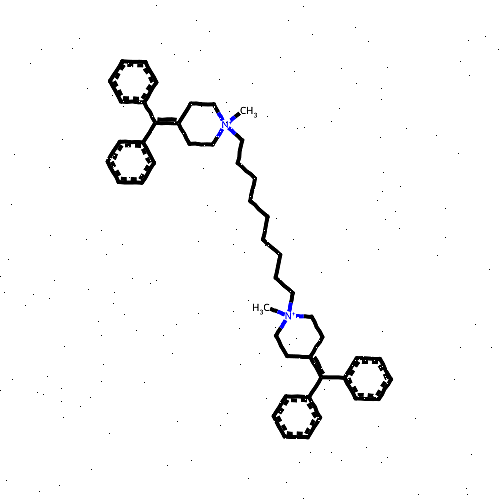 C[N+]1(CCCCCCCCC[N+]2(C)CCC(=C(c3ccccc3)c3ccccc3)CC2)CCC(=C(c2ccccc2)c2ccccc2)CC1